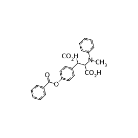 CN(c1ccccc1)C(C(=O)O)C(C(=O)O)c1ccc(OC(=O)c2ccccc2)cc1